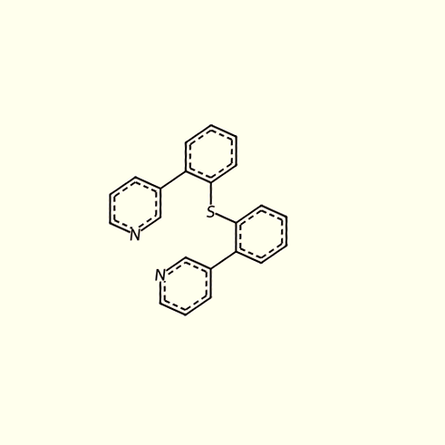 c1cncc(-c2ccccc2Sc2ccccc2-c2cccnc2)c1